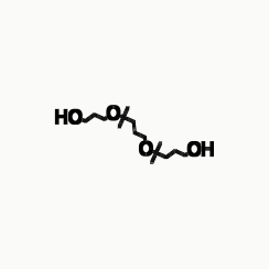 CC(C)(CCCO)OCCCC(C)(C)OCCCO